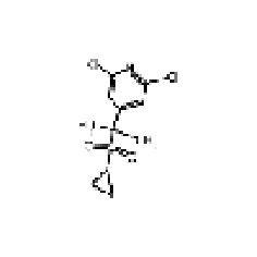 CC(C)(c1cc(Cl)nc(Cl)c1)S(=O)(=O)C1CC1